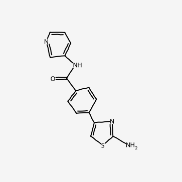 Nc1nc(-c2ccc(C(=O)Nc3cccnc3)cc2)cs1